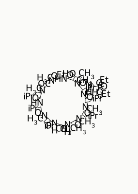 CCOP(=O)(CCNCCC(C)C(O)C1C(=O)NC(CC)C(=O)N(C)CC(=O)N(C)C(CC(C)C)C(=O)NC(C(C)C)C(=O)N(C)C(CC(C)C)C(=O)NC(C)C(=O)NC(C)C(=O)N(C)C(CC(C)C)C(=O)N(C)C(CC(C)C)C(=O)N(C)C(C(C)C)C(=O)N1C)OCC